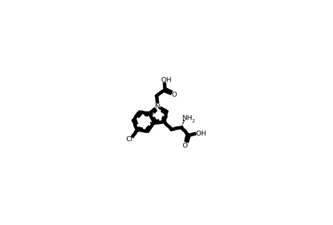 N[C@@H](Cc1cn(CC(=O)O)c2ccc(Cl)cc12)C(=O)O